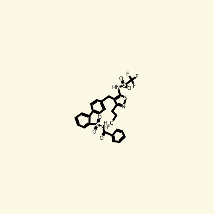 CCCc1nsc(NS(=O)(=O)C(F)(F)F)c1Cc1ccc(-c2ccccc2S(=O)(=O)NC(=O)c2ccccc2)cc1